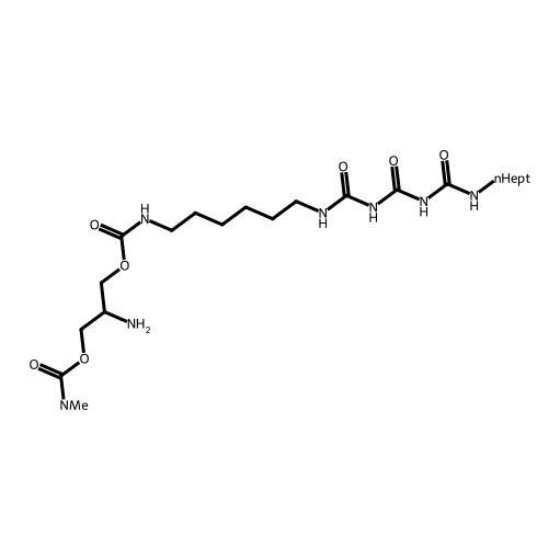 CCCCCCCNC(=O)NC(=O)NC(=O)NCCCCCCNC(=O)OCC(N)COC(=O)NC